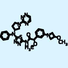 COC1CN(c2cccc([C@@H](OC)C(=O)Nc3nnc(N(c4ccccc4)[C@@H]4CCN(c5nccnn5)C4)s3)c2)C1